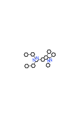 c1ccc(-c2cccc(-c3cc(-c4ccc5c(c4)cc(-c4ccccc4)c4c(-c6ccccc6)nn(-c6ccccc6)c45)nc(-c4cccc(-c5ccccc5)c4)n3)c2)cc1